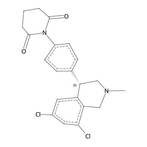 CN1Cc2c(Cl)cc(Cl)cc2[C@H](c2ccc(N3C(=O)CCCC3=O)cc2)C1